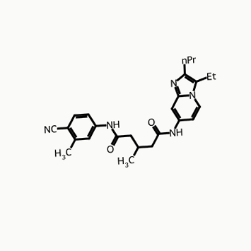 CCCc1nc2cc(NC(=O)CC(C)CC(=O)Nc3ccc(C#N)c(C)c3)ccn2c1CC